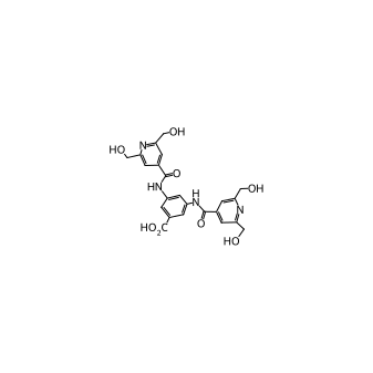 O=C(O)c1cc(NC(=O)c2cc(CO)nc(CO)c2)cc(NC(=O)c2cc(CO)nc(CO)c2)c1